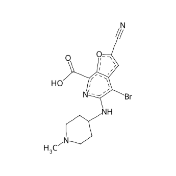 CN1CCC(Nc2nc(C(=O)O)c3oc(C#N)cc3c2Br)CC1